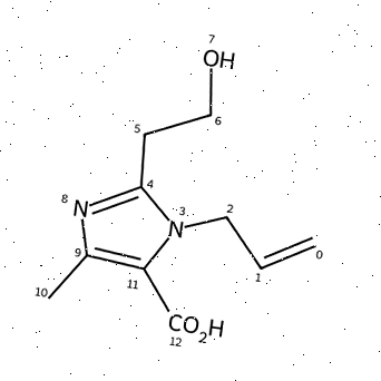 C=CCn1c(CCO)nc(C)c1C(=O)O